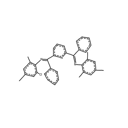 Cc1cc(C)c(/N=C(\c2ccccc2)c2cccc(/C(=N/c3c(C)cc(C)cc3Cl)c3ccccc3)n2)c(C)c1